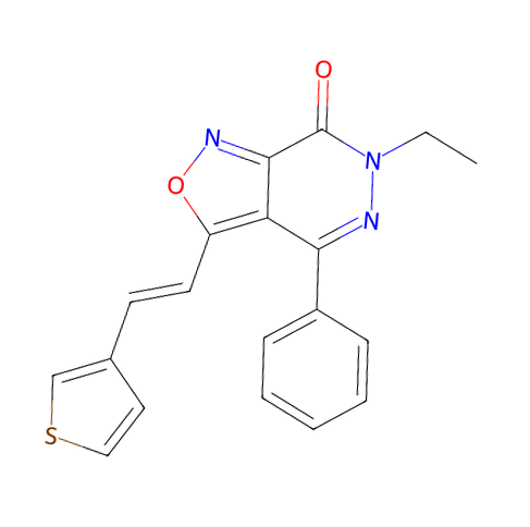 CCn1nc(-c2ccccc2)c2c(C=Cc3ccsc3)onc2c1=O